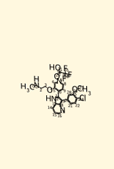 CNCCOc1cnccc1-c1[nH]c2cccnc2c1-c1ccc(Cl)c(OC)c1.O=C(O)C(F)(F)F